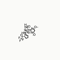 COc1cc(OC)nc(N(C(N)=O)S(=O)(=O)Nn2cccc2C(=O)C(F)(F)F)n1